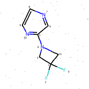 FC1(F)CN(c2cnc[c]n2)C1